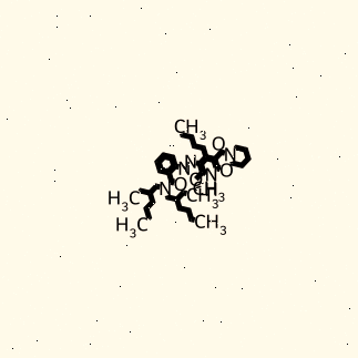 CCCCCc1c(/N=N/c2ccccc2C(=O)N(CC(CC)CCCC)CC(CC)CCCC)c(OC)[nH]c(=O)c1C(=O)N1CCCCC1